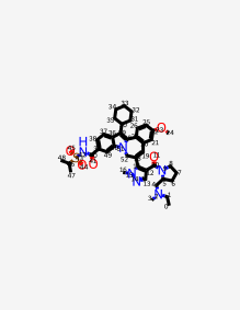 CCN(C)CC1CCCN1C(=O)c1cnn(C)c1C1=Cc2cc(OC)ccc2-c2c(C3CCCCC3)c3ccc(C(=O)NS(=O)(=O)C(C)C)cc3n2C1